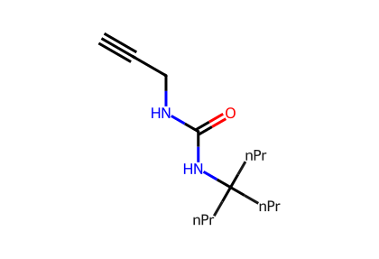 C#CCNC(=O)NC(CCC)(CCC)CCC